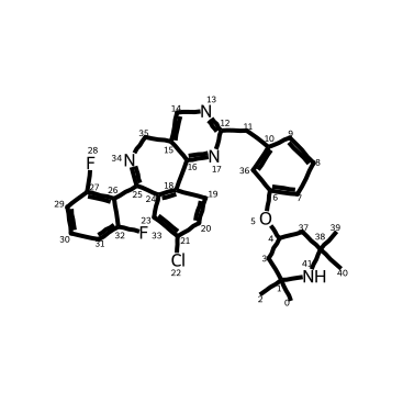 CC1(C)CC(Oc2cccc(Cc3ncc4c(n3)-c3ccc(Cl)cc3C(c3c(F)cccc3F)=NC4)c2)CC(C)(C)N1